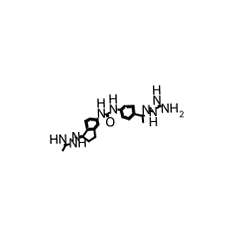 CC(=N)NN=C1CCc2cc(NC(=O)Nc3ccc(C(C)=NNC(=N)N)cc3)ccc21